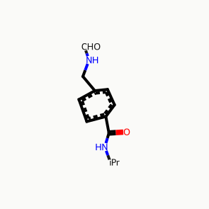 CC(C)NC(=O)c1ccc(CNC=O)cc1